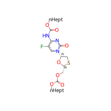 CCCCCCCOC(=O)Nc1nc(=O)n([C@@H]2CS[C@H](COC(=O)OCCCCCCC)O2)cc1F